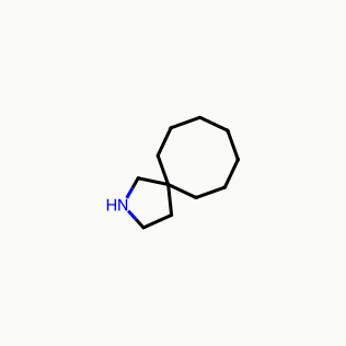 C1CCCC2(CCC1)CCNC2